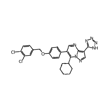 Clc1ccc(COc2ccc(-c3cnc4c(-c5nnn[nH]5)cnn4c3C3CCCCC3)cc2)cc1Cl